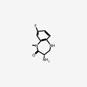 CN1C(=O)[C@H](N)CNc2ccc(F)cc21